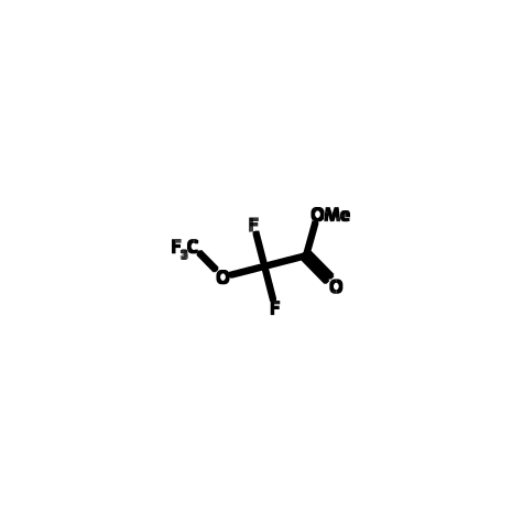 COC(=O)C(F)(F)OC(F)(F)F